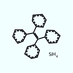 [SiH4].c1ccc(C(=C(c2ccccc2)c2ccccc2)c2ccccc2)cc1